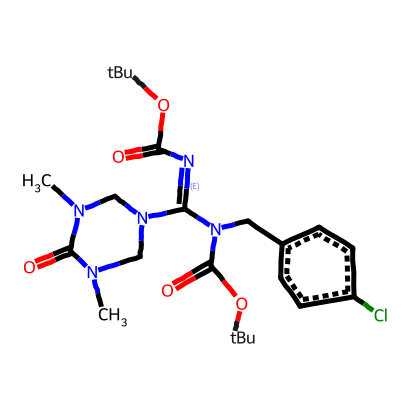 CN1CN(/C(=N\C(=O)OC(C)(C)C)N(Cc2ccc(Cl)cc2)C(=O)OC(C)(C)C)CN(C)C1=O